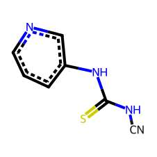 N#CNC(=S)Nc1cccnc1